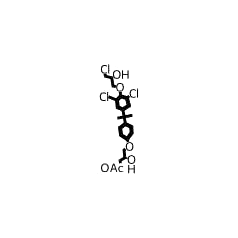 CC(=O)OC[C@H](O)COc1ccc(C(C)(C)c2cc(Cl)c(OC[C@H](O)CCl)c(Cl)c2)cc1